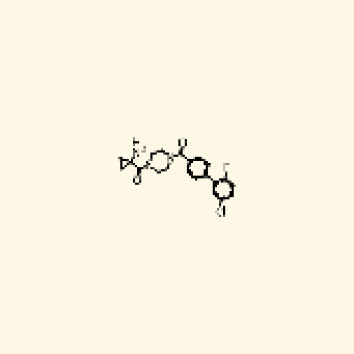 NC1(C(=O)N2CCN(C(=O)c3ccc(-c4cc(Cl)ccc4F)cc3)CC2)CC1